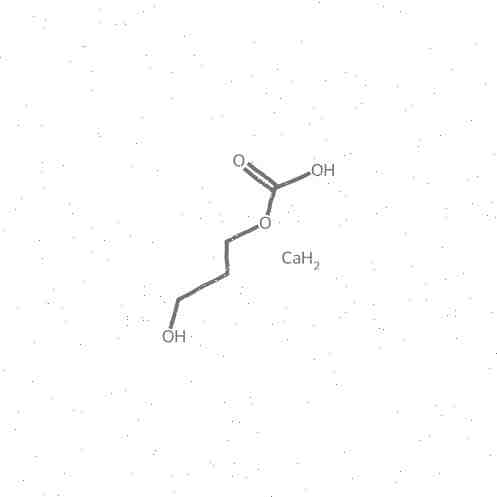 O=C(O)OCCCO.[CaH2]